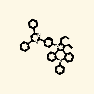 C=Cc1c2c(n(-c3c#cc(-c4nc(-c5ccccc5)cc(-c5ccccc5)n4)cc3)c1/C=C\C)-c1ccccc1N(c1ccccc1)c1ccccc1-2